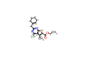 CCOC(=O)c1sc2nc(CC3=CCCCC3)nc(Cl)c2c1C